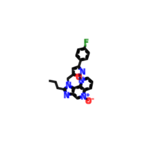 CCCc1nc2c[n+]([O-])c3cccnc3c2n1Cc1cc(-c2ccc(F)cc2)no1